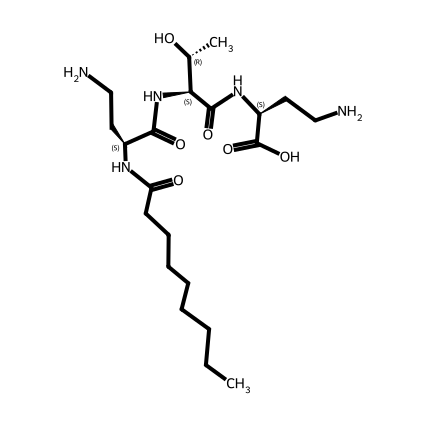 CCCCCCCCC(=O)N[C@@H](CCN)C(=O)N[C@H](C(=O)N[C@@H](CCN)C(=O)O)[C@@H](C)O